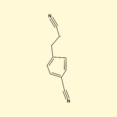 N#C[CH]Cc1ccc(C#N)cc1